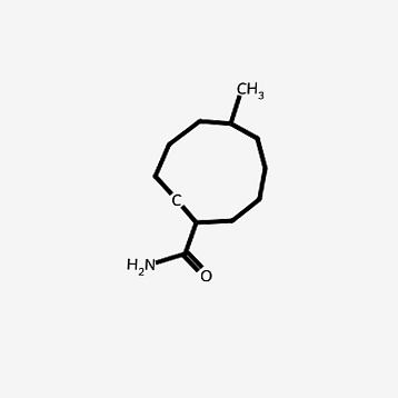 CC1CCCCC(C(N)=O)CCCC1